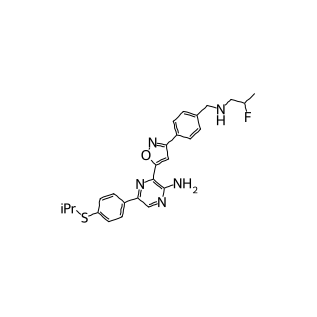 CC(F)CNCc1ccc(-c2cc(-c3nc(-c4ccc(SC(C)C)cc4)cnc3N)on2)cc1